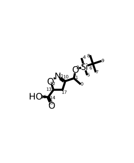 CC(O[Si](C)(C)C(C)(C)C)C1=NOC(C(=O)O)C1